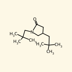 CC(C)(C)CC1CC(=O)N(CC(C)(C)C)C1